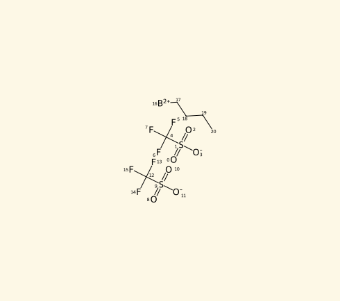 O=S(=O)([O-])C(F)(F)F.O=S(=O)([O-])C(F)(F)F.[B+2]CCCC